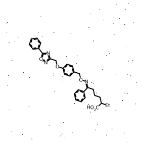 CCC(CCCC(=NOCc1ccc(OCc2noc(-c3ccccc3)n2)cc1)c1ccccc1)C(=O)O